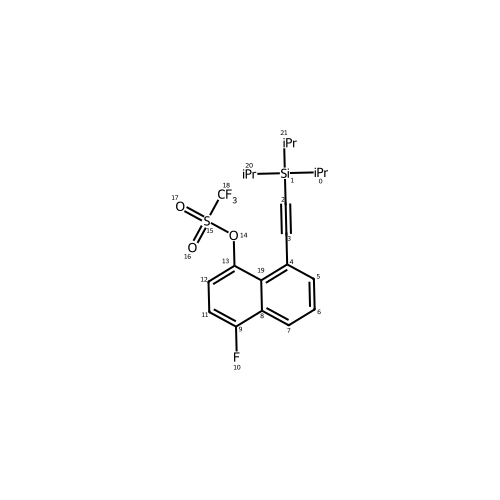 CC(C)[Si](C#Cc1cccc2c(F)ccc(OS(=O)(=O)C(F)(F)F)c12)(C(C)C)C(C)C